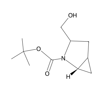 CC(C)(C)OC(=O)N1C(CO)CC2C[C@@H]21